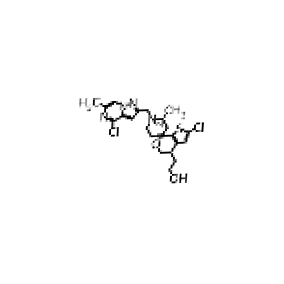 Cc1cn2nc(CN3CC[C@]4(C[C@@H]3C)OCC(CCO)c3cc(Cl)sc34)cc2c(Cl)n1